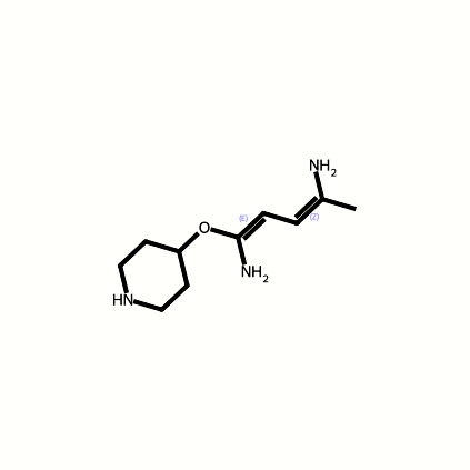 C/C(N)=C/C=C(\N)OC1CCNCC1